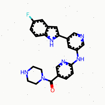 O=C(c1ccc(Nc2cncc(-c3cc4cc(F)ccc4[nH]3)c2)nc1)N1CCNCC1